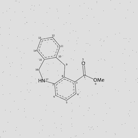 COC(=O)c1cccc2c1Cc1ccccc1CN2